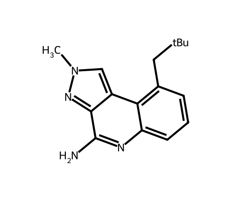 Cn1cc2c(n1)c(N)nc1cccc(CC(C)(C)C)c12